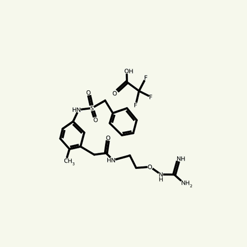 Cc1ccc(NS(=O)(=O)Cc2ccccc2)cc1CC(=O)NCCONC(=N)N.O=C(O)C(F)(F)F